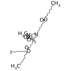 CCCCCCCCCOC(=O)CCCCCCCN(CCCCCCCC(=O)OC(CCCCCCCC)CCCCCCCI)CCCN(C)S(C)(=O)=O